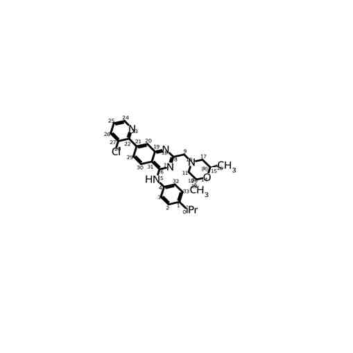 CC(C)c1ccc(Nc2nc(CN3C[C@@H](C)O[C@H](C)C3)nc3cc(-c4ncccc4Cl)ccc23)cc1